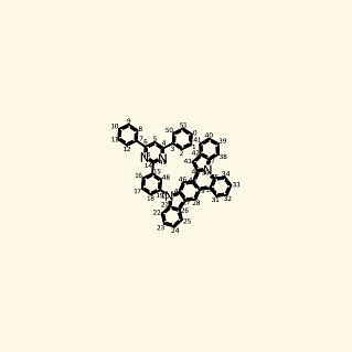 c1ccc(-c2cc(-c3ccccc3)nc(-c3cccc(-n4c5ccccc5c5cc6c7ccccc7n7c8ccccc8cc7c6cc54)c3)n2)cc1